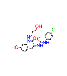 O=C(Nc1ccc(Cl)cc1)N[C@@H](Cc1ccc(O)cc1)c1nnc(CCO)o1